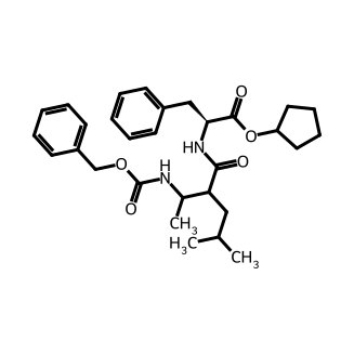 CC(C)CC(C(=O)N[C@@H](Cc1ccccc1)C(=O)OC1CCCC1)C(C)NC(=O)OCc1ccccc1